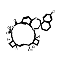 O=C1NS(=O)(=O)C[C@@H]2CC[C@H]2/C=C/[C@H](O)[C@@H]2CC[C@H]2CN2C[C@@]3(CCCc4cc(Cl)ccc43)COc3ccc1cc32